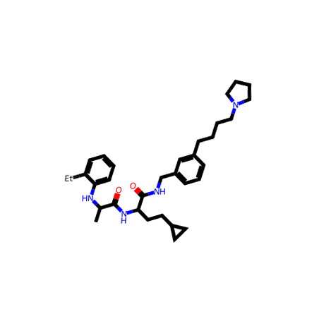 CCc1ccccc1NC(C)C(=O)NC(CCC1CC1)C(=O)NCc1cccc(CCCCN2CCCC2)c1